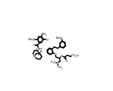 COc1cc(N)c(Cl)cc1C(=O)N[C@@H]1CC[N@]2CCC[C@H]1C2.COc1cccc(CCc2ccccc2OCC(CN(C)C)OC(=O)CCC(=O)O)c1